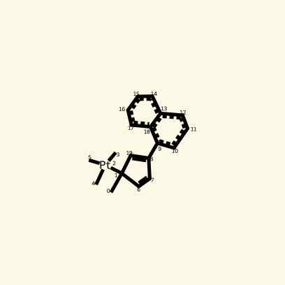 C[C]1([Pt]([CH3])([CH3])[CH3])C=CC(c2cccc3ccccc23)=C1